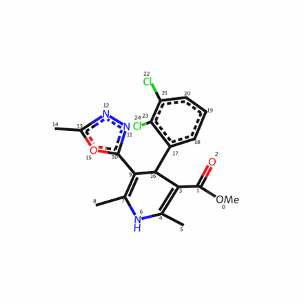 COC(=O)C1=C(C)NC(C)=C(c2nnc(C)o2)C1c1cccc(Cl)c1Cl